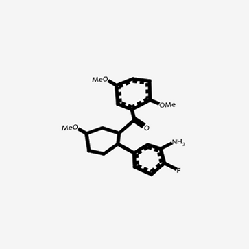 COc1ccc(OC)c(C(=O)C2CC(OC)CCC2c2ccc(F)c(N)c2)c1